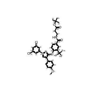 COc1ccc(-c2cn(-c3cc(Cl)cc(Cl)c3)nc2Oc2ccc(C(=O)NCCC(=O)OC(C)(C)C)cc2C(F)(F)F)cc1